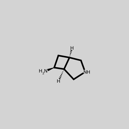 N[C@H]1C[C@H]2CNC[C@H]21